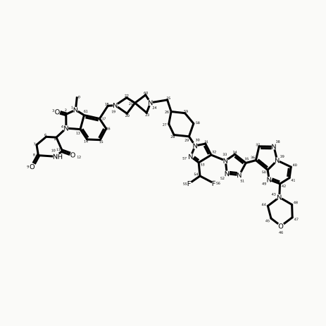 Cn1c(=O)n(C2CCC(=O)NC2=O)c2cccc(CN3CC4(C3)CN(CC3CCC(n5cc(-n6cc(-c7cnn8ccc(N9CCOCC9)nc78)nn6)c(C(F)F)n5)CC3)C4)c21